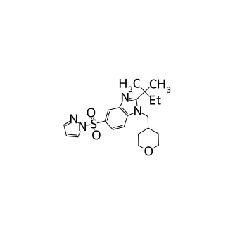 CCC(C)(C)c1nc2cc(S(=O)(=O)n3cccn3)ccc2n1CC1CCOCC1